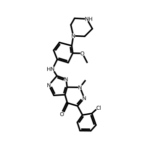 COc1cc(Nc2ncc3c(=O)c(-c4ccccc4Cl)nn(C)c3n2)ccc1N1CCNCC1